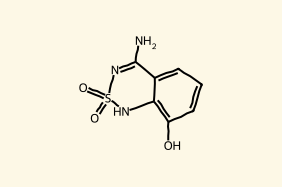 NC1=NS(=O)(=O)Nc2c(O)cccc21